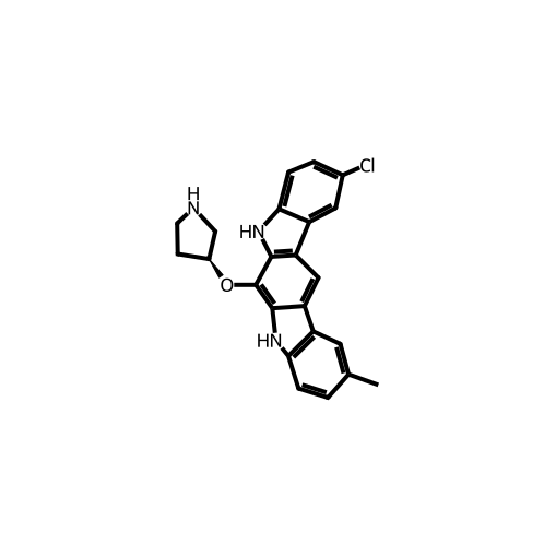 Cc1ccc2[nH]c3c(O[C@H]4CCNC4)c4[nH]c5ccc(Cl)cc5c4cc3c2c1